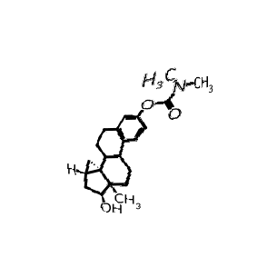 CN(C)C(=O)Oc1ccc2c(c1)CCC1C2CC[C@]2(C)[C@@H](O)C[C@@H]3C[C@@]132